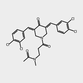 CC(=O)N(C)CCC(=O)N1C/C(=C\c2ccc(Cl)c(Cl)c2)C(=O)/C(=C/c2ccc(Cl)c(Cl)c2)C1